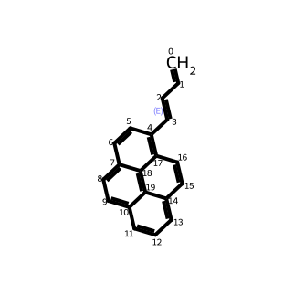 C=C/C=C/c1ccc2ccc3cccc4ccc1c2c34